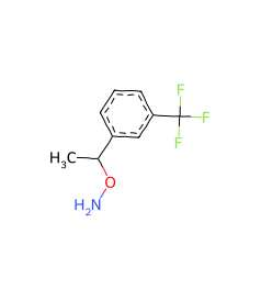 CC(ON)c1cccc(C(F)(F)F)c1